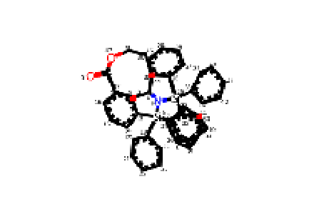 O=C1CCC(N([Si](c2ccccc2)(c2ccccc2)c2ccccc2)[Si](c2ccccc2)(c2ccccc2)c2ccccc2)CCCO1